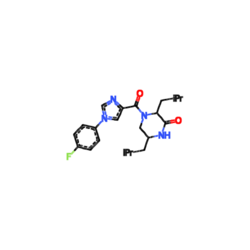 CC(C)CC1CN(C(=O)c2cn(-c3ccc(F)cc3)cn2)C(CC(C)C)C(=O)N1